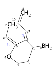 BC1CCOC(=C/C)/C1=C\C=C